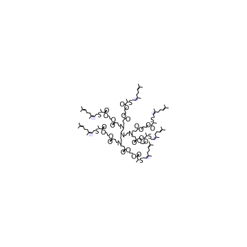 CC(C)=CCC/C(C)=C\CSC(C)C(=O)OCCOC(=O)CCN(CCC(=O)OCCOC(=O)C(C)SC/C=C(/C)CCC=C(C)C)CCN(CCN(CCC(=O)OCCOC(=O)C(C)SC/C=C(/C)CCC=C(C)C)CCC(=O)OCCOC(=O)C(C)SC/C=C(/C)CCC=C(C)C)CCN(CCC(=O)OCCOC(=O)C(C)SC/C=C(/C)CCC=C(C)C)CCC(=O)OCCOC(=O)C(C)SC/C=C(/C)CCC=C(C)C